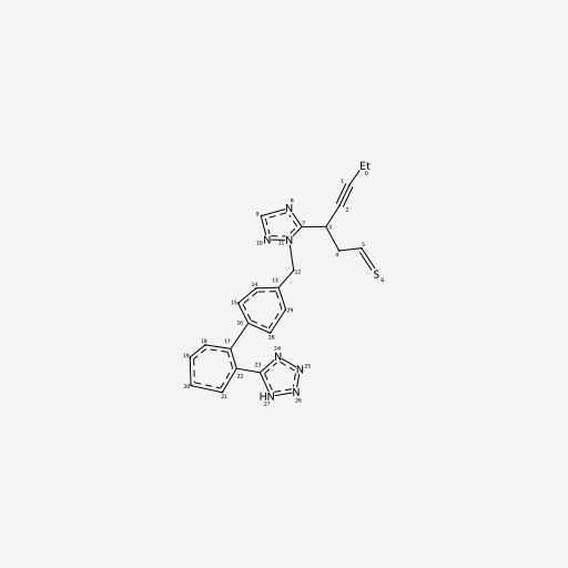 CCC#CC(CC=S)c1ncnn1Cc1ccc(-c2ccccc2-c2nnn[nH]2)cc1